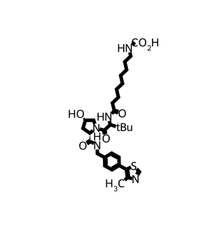 Cc1ncsc1-c1ccc(CNC(=O)[C@@H]2C[C@@H](O)CN2C(=O)C(NC(=O)CCCCCCCCNC(=O)O)C(C)(C)C)cc1